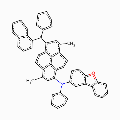 Cc1cc(B(c2ccccc2)c2cccc3ccccc23)c2ccc3c(C)cc(N(c4ccccc4)c4ccc5oc6ccccc6c5c4)c4ccc1c2c34